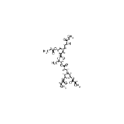 C=CC(=O)NCCN(CCOC(=O)C=C)CCC(=O)OC(C)COC(=O)CCN(CCOC(=O)C=C)CCOC(=O)C=C